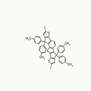 Cc1ccc(C2(c3ccc(C)cc3)c3cc(I)sc3-c3sc4c5c(ccc4c32)-c2sc(I)cc2C5(c2ccc(C)cc2)c2ccc(C)cc2)cc1